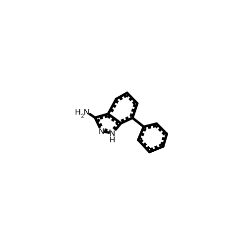 Nc1n[nH]c2c(-c3ccccc3)c[c]cc12